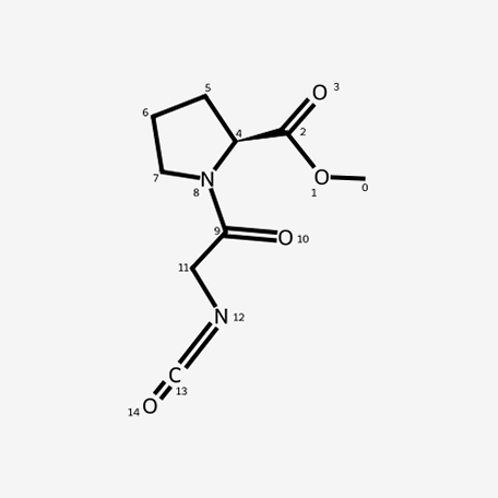 COC(=O)[C@@H]1CCCN1C(=O)CN=C=O